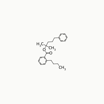 CCCCc1ccccc1C(=O)OC(C)(C)CCCc1ccccc1